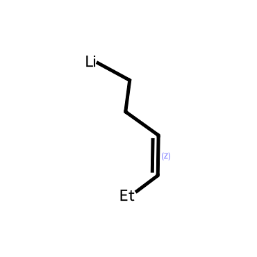 [Li][CH2]C/C=C\CC